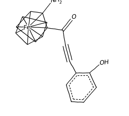 N[C]12[CH]3[CH]4[CH]5[C]1(C(=O)C#Cc1ccccc1O)[Fe]43521678[CH]2[CH]1[CH]6[CH]7[CH]28